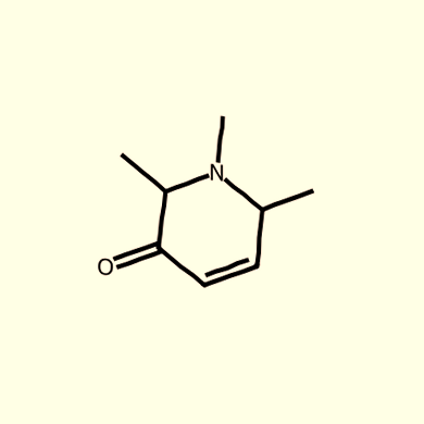 CC1C=CC(=O)C(C)N1C